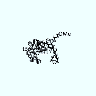 COCCCCOc1cc(OCCN2CCOCC2)ccc1C(=O)NCC(CC(NC(=O)OC(C)(C)C)C(CC(C(=O)N(CC(C)C)C(N)=O)C(C)C)O[Si](C)(C)C(C)(C)C)C(C)C